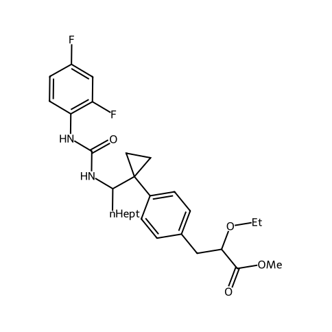 CCCCCCCC(NC(=O)Nc1ccc(F)cc1F)C1(c2ccc(CC(OCC)C(=O)OC)cc2)CC1